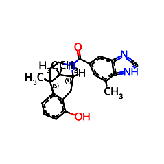 Cc1cc(C(=O)N2CC[C@@]3(C)c4cccc(O)c4C[C@@H]2C3(C)C)cc2nc[nH]c12